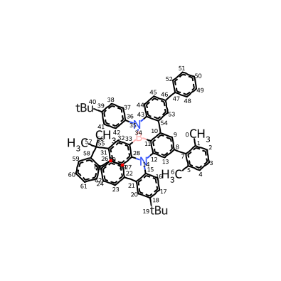 Cc1cccc(C)c1-c1cc2c3c(c1)N(c1ccc(C(C)(C)C)cc1-c1ccccc1)c1cc4c(cc1B3N(c1ccc(C(C)(C)C)cc1)c1ccc(-c3ccccc3)cc1-2)C(C)(C)c1ccccc1-4